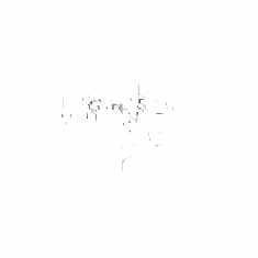 COC[C@H](C/N=C(/NS(=O)(=O)c1ccc(Cl)cc1)N1C[C@H](c2ccccc2)C(c2ccc(Cl)cc2)=N1)NS(N)(=O)=O